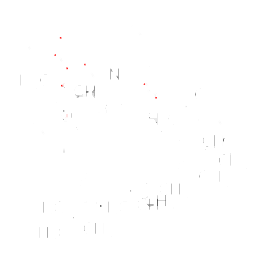 CC(C)(C)c1cc2cc(c1)C(C)(C)C(C)(C)c1cc(cc(C(C)(C)C)c1)-c1ccc3c(c1)B1c4cc-2ccc4Oc2cc(-c4ccccc4)cc(c21)N3c1c(-c2ccc(C(C)(C)c3ccccc3)cc2)cccc1-c1cccc(C(C)(C)c2ccccc2)c1